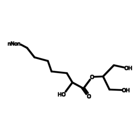 CCCCCCCCCCCCCCC(O)C(=O)OC(CO)CO